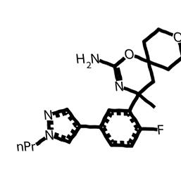 CCCn1cc(-c2ccc(F)c(C3(C)CC4(CCOCC4)OC(N)=N3)c2)cn1